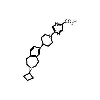 O=C(O)c1cnc(N2CCC(c3ccc4c(c3)CCN(C3CCC3)CC4)CC2)cn1